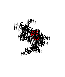 CC(C)C[C@H](NC(=O)CNC(=O)[C@@H]1CCCN1)C(=O)N[C@@H](CCCCN)C(=O)N[C@@H](CCCNC(=N)N)C(=O)N[C@@H](Cc1ccccc1)C(=O)N[C@@H](CO)C(=O)N[C@@H](CS)C(=O)N[C@@H](CC(C)C)C(=O)N[C@@H](CO)C(=O)N[C@@H](CC(C)C)C(=O)N1CCC[C@H]1C(=O)N[C@@H](CO)C(=O)N[C@@H](CO)C(=O)N[C@@H](Cc1c[nH]c2ccccc12)C(=O)N[C@@H](CC(=O)O)C(=O)N[C@@H](Cc1ccc(O)cc1)C(=O)O